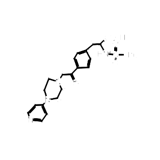 CCCCS(=O)(=O)NC(Cc1ccc(C(=O)CN2CCN(c3ccncc3)CC2)cc1)C(=O)O